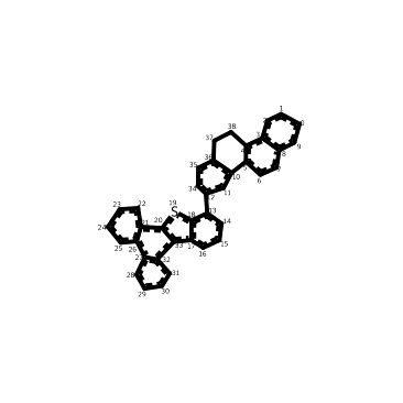 c1ccc2c3c(ccc2c1)-c1cc(-c2cccc4c2sc2c5ccccc5c5ccccc5c42)ccc1CC3